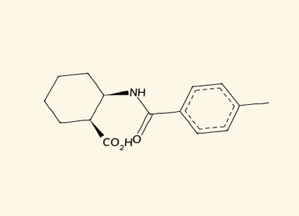 Cc1ccc(C(=O)N[C@@H]2CCCC[C@@H]2C(=O)O)cc1